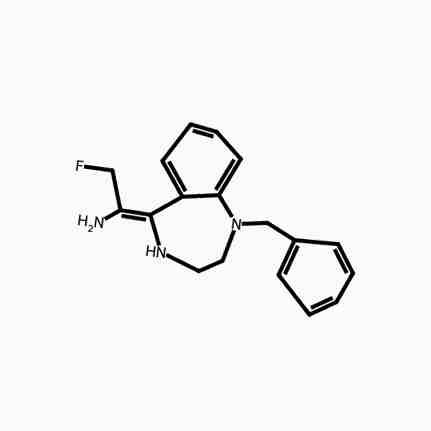 N/C(CF)=C1\NCCN(Cc2ccccc2)c2ccccc21